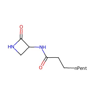 CCCCCCCC(=O)NC1CNC1=O